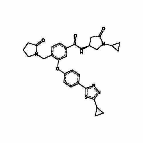 O=C(N[C@H]1CC(=O)N(C2CC2)C1)c1ccc(CN2CCCC2=O)c(Oc2ccc(-c3nnc(C4CC4)s3)cc2)c1